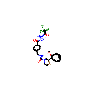 COc1ccccc1C1CN(C(=O)NCc2ccc(C(=O)NNC(=O)C(F)(F)F)cc2)CCS1